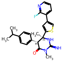 CC(C)c1ccc([C@H]2C(=O)N(C)C(=N)N[C@]2(C)c2cc(-c3cccnc3F)cs2)cc1